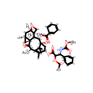 CCC(=O)OC(C(=O)O[C@H]1C[C@@]2(O)[C@@H](OC(=O)c3ccccc3)[C@@H]3[C@]4(OC(C)=O)CO[C@@H]4C[C@@H]4C[C@@]43C(=O)[C@H](OC(C)=O)C(=C1C)C2(C)C)[C@@H](NC(=O)OC(C)(C)C)c1ccccc1